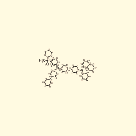 CC1(C)C2=C(CCC=C2)c2ccc(N(c3ccc(-c4ccccc4)cc3)c3ccc(-c4ccc(N(c5ccccc5)c5cccc6ccccc56)cc4)cc3)cc21